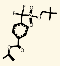 C=C(C)OC(=O)c1ccc(C(F)(F)S(=O)(=O)OCC(C)(C)C)cc1